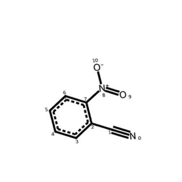 N#Cc1ccc[c]c1[N+](=O)[O-]